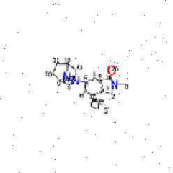 CN1Cc2c(cc(N3CC4CCC(C3)N4C)cc2C(F)(F)F)C1=O